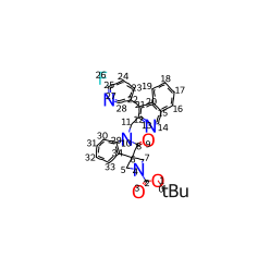 CC(C)(C)OC(=O)N1CC2(C1)C(=O)N(Cc1ncc3ccccc3c1-c1ccc(F)nc1)c1ccccc12